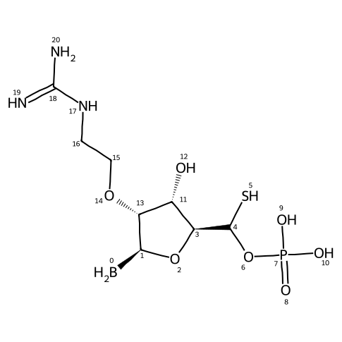 B[C@@H]1O[C@H](C(S)OP(=O)(O)O)[C@@H](O)[C@H]1OCCNC(=N)N